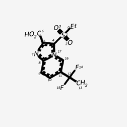 CCS(=O)(=O)c1c(C(=O)O)nc2ccc(C(C)(F)F)cn12